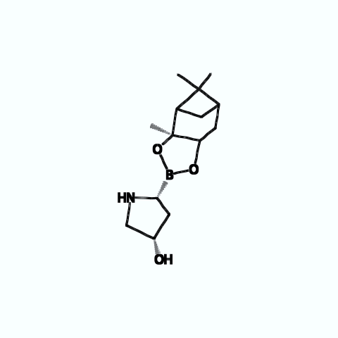 CC1(C)C2CC3OB([C@@H]4C[C@H](O)CN4)O[C@@]3(C)C1C2